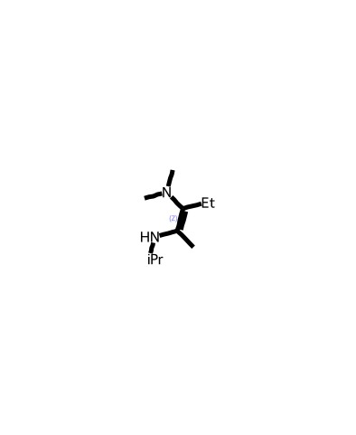 CC/C(=C(\C)NC(C)C)N(C)C